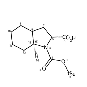 CC(C)(C)OC(=O)N1C(C(=O)O)CC2CCCC[C@@H]21